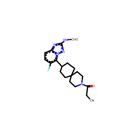 N#CCC(=O)N1CCC2(CCC(c3c(F)ccc4nc(NC=O)nn34)CC2)CC1